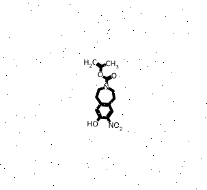 C=C(C)OC(=O)N1CCc2cc(O)c([N+](=O)[O-])cc2CC1